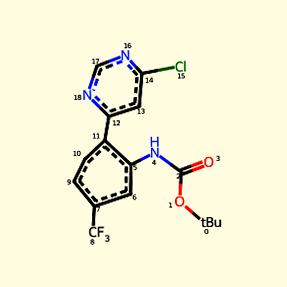 CC(C)(C)OC(=O)Nc1cc(C(F)(F)F)ccc1-c1cc(Cl)ncn1